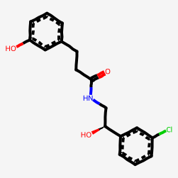 O=C(CCc1cccc(O)c1)NC[C@H](O)c1cccc(Cl)c1